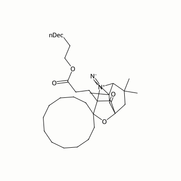 CCCCCCCCCCCCOC(=O)CCC12C(=O)C3(CC(C)(C)C([N+]1=[N-])C(C)(C)C3)OC21CCCCCCCCCCC1